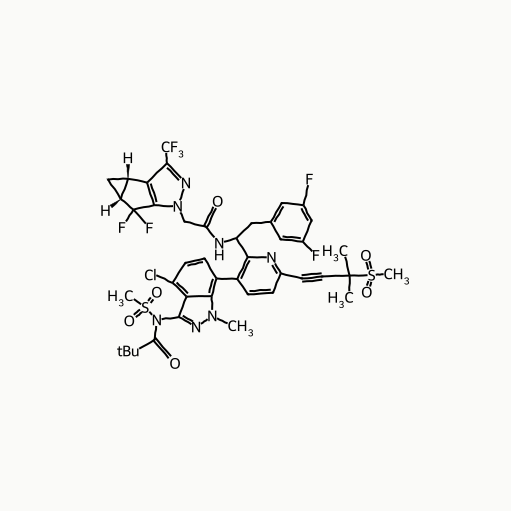 Cn1nc(N(C(=O)C(C)(C)C)S(C)(=O)=O)c2c(Cl)ccc(-c3ccc(C#CC(C)(C)S(C)(=O)=O)nc3C(Cc3cc(F)cc(F)c3)NC(=O)Cn3nc(C(F)(F)F)c4c3C(F)(F)[C@@H]3C[C@H]43)c21